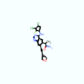 C=C(C(N)=O)c1cc2c(Nc3ccc(Cl)c(Cl)c3F)ncnc2cc1C#CC1C2COCC12